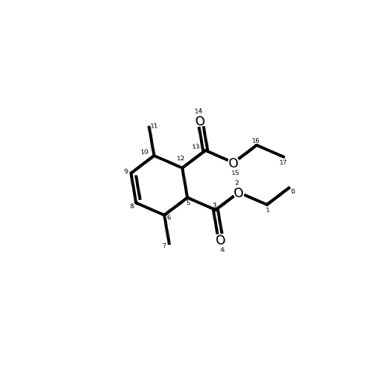 CCOC(=O)C1C(C)C=CC(C)C1C(=O)OCC